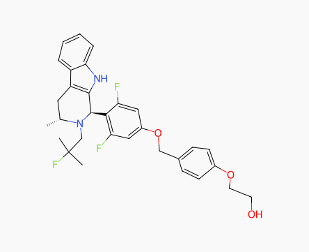 C[C@@H]1Cc2c([nH]c3ccccc23)[C@@H](c2c(F)cc(OCc3ccc(OCCO)cc3)cc2F)N1CC(C)(C)F